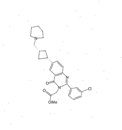 COC(=O)Cn1c(-c2cccc(Cl)c2)nc2ccc([C@H]3C[C@@H](CN4CCCCC4)C3)cc2c1=O